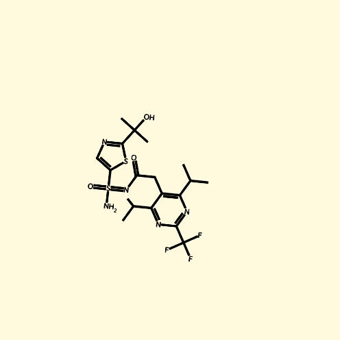 CC(C)c1nc(C(F)(F)F)nc(C(C)C)c1CC(=O)N=S(N)(=O)c1cnc(C(C)(C)O)s1